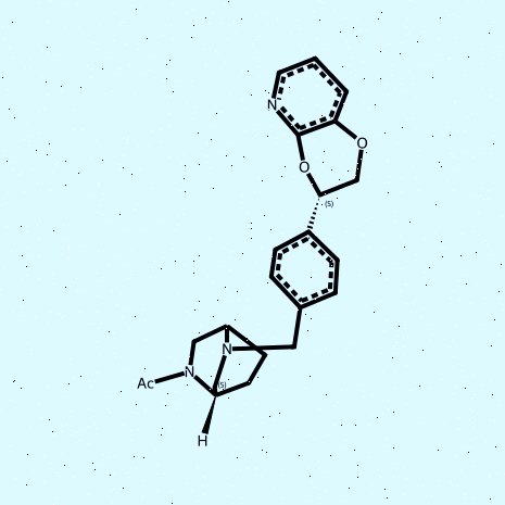 CC(=O)N1CC2CC[C@H]1CN2Cc1ccc([C@H]2COc3cccnc3O2)cc1